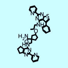 CC(CNc1nc(-c2ccccn2)nc2scc(-c3ccccc3)c12)OC1CCC(CNc2nc(-c3ccccn3)nc3c2CCC3)(C(N)=O)C1